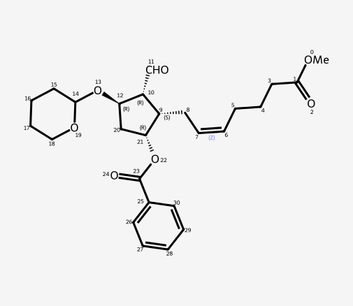 COC(=O)CCC/C=C\C[C@H]1[C@@H](C=O)[C@H](OC2CCCCO2)C[C@H]1OC(=O)c1ccccc1